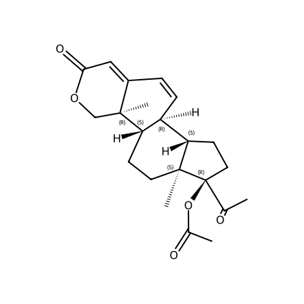 CC(=O)O[C@]1(C(C)=O)CC[C@H]2[C@@H]3C=CC4=CC(=O)OC[C@]4(C)[C@H]3CC[C@@]21C